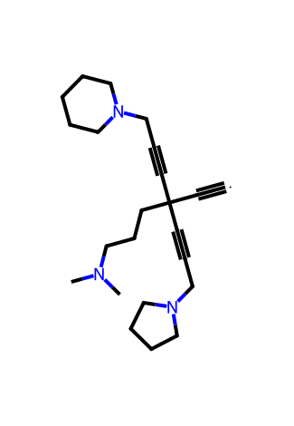 [C]#CC(C#CCN1CCCCC1)(C#CCN1CCCC1)CCCN(C)C